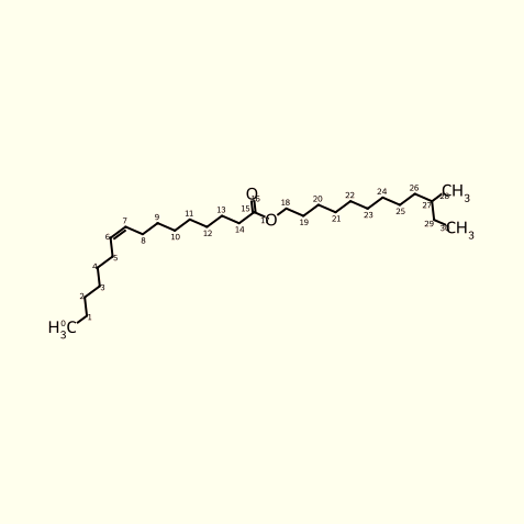 CCCCCC/C=C\CCCCCCCC(=O)OCCCCCCCCCC(C)CC